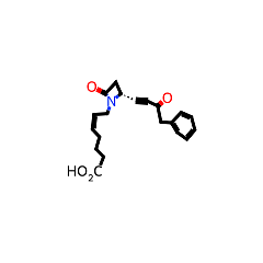 O=C(O)CCC/C=C\CN1C(=O)C[C@@H]1C#CC(=O)Cc1ccccc1